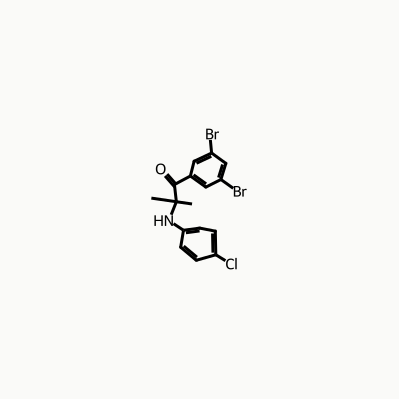 CC(C)(Nc1ccc(Cl)cc1)C(=O)c1cc(Br)cc(Br)c1